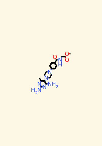 COC(=O)CNC(=O)c1ccc(N2CCN(c3c(C)nc(N)nc3N)CC2)cc1